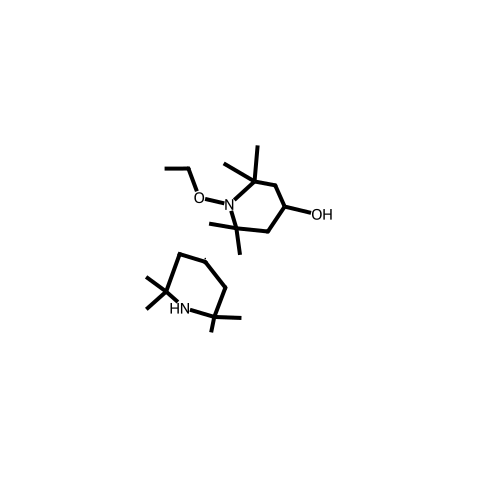 CC1(C)C[CH]CC(C)(C)N1.CCON1C(C)(C)CC(O)CC1(C)C